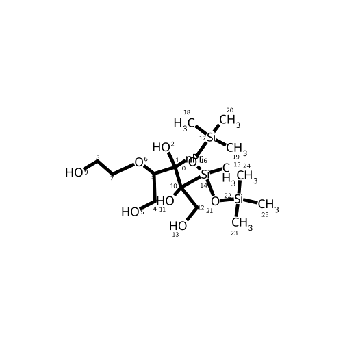 CCCC(O)(C(CO)OCCO)C(O)(CO)[Si](C)(O[Si](C)(C)C)O[Si](C)(C)C